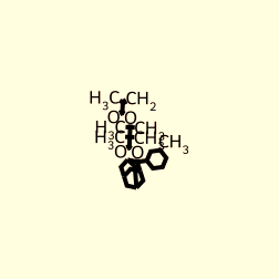 C=C(C)C(=O)OC(C)(C)C(C)(C)C(=O)OC1(C2CCCC(C)C2)C2CC3CC(C2)CC1C3